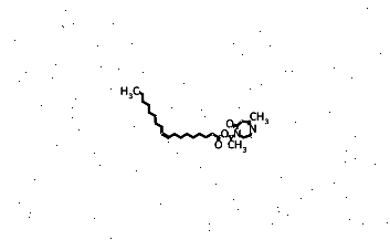 CCCCCCCC/C=C\CCCCCCCC(=O)OC(C)N1CCN=C(C)CC1=O